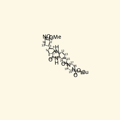 COc1cc(-c2ccc3c(c2)Nc2ccc(CC(=O)N4CCN(C(=O)OC(C)(C)C)CC4)cc2NC3=O)ccc1[N+](=O)[O-]